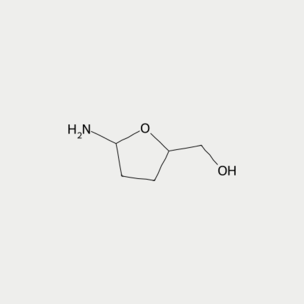 NC1CCC(CO)O1